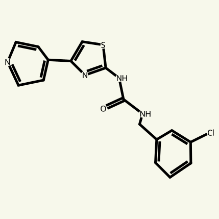 O=C(NCc1cccc(Cl)c1)Nc1nc(-c2ccncc2)cs1